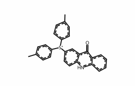 Cc1ccc([S+](c2ccc(C)cc2)c2ccc3[nH]c4ccccc4c(=O)c3c2)cc1